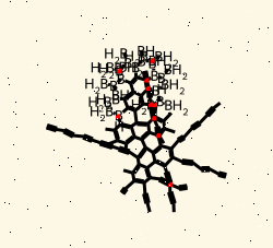 BBB(B)B(B(B)B)c1c(B(B(B)B)B(B)B)c(B(BB)B(B)B)c(B(B)B(B)B)c2c(C)c(-c3c4c(C)c(C)c(C)c(C)c4c(-c4c(C#CC#CC#CC#CC#C)c5c(C)c(C#C)c(C#CC)c(C#CC#C)c5c5c(C#CC#CC)c(C#CC#CC#C)c(C#CC#CC#CC)c(C#CC#CC#CC#C)c45)c4c(C)c(C)c(C)c(C)c34)c(BB)c(B)c12